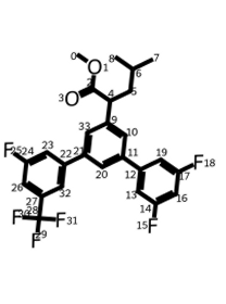 COC(=O)C(CC(C)C)c1cc(-c2cc(F)cc(F)c2)cc(-c2cc(F)cc(C(F)(F)F)c2)c1